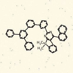 C[Si]1(C)c2ccccc2-c2c(-c3cccc4ccccc34)nc(-c3cccc(-c4cccc(-c5cc(-c6ccccc6)cc(-c6ccccc6)c5)c4)c3)nc21